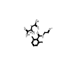 Cc1cccc(C)c1C(=O)OCC=O.NC(CC(=O)O)C(=O)O